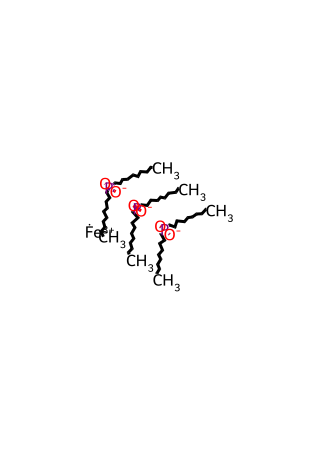 CCCCCCCCCCP(=O)([O-])CCCCCCCCCC.CCCCCCCCCCP(=O)([O-])CCCCCCCCCC.CCCCCCCCCCP(=O)([O-])CCCCCCCCCC.[Fe+3]